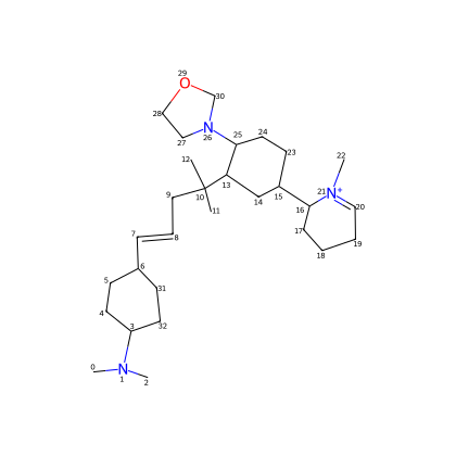 CN(C)C1CCC(C=CCC(C)(C)C2CC(C3CCCC=[N+]3C)CCC2N2CCOC2)CC1